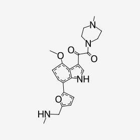 CNCc1ccc(-c2ccc(OC)c3c(C(=O)C(=O)N4CCN(C)CC4)c[nH]c23)o1